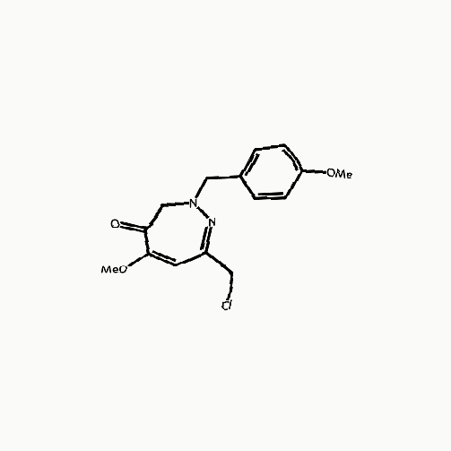 COC1=CC(CCl)=NN(Cc2ccc(OC)cc2)CC1=O